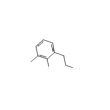 Cc1cccc(CCO)c1F